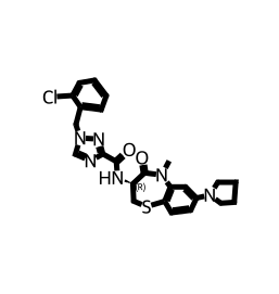 CN1C(=O)[C@@H](NC(=O)c2ncn(Cc3ccccc3Cl)n2)CSc2ccc(N3CCCC3)cc21